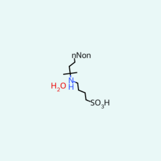 CCCCCCCCCCCC(C)(C)NCCCCS(=O)(=O)O.O